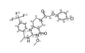 COn1c(NC(C)c2ccc(C(F)(F)F)cc2)nc2c(c1=O)CN(C(=O)COc1ccc(Cl)cc1)CC2